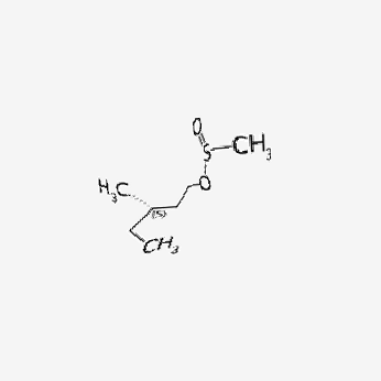 CC[C@H](C)CCOS(C)=O